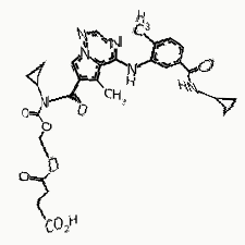 Cc1ccc(C(=O)NC2CC2)cc1Nc1ncnn2cc(C(=O)N(C(=O)OCOC(=O)CCC(=O)O)C3CC3)c(C)c12